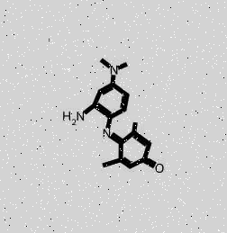 CC1=CC(=O)C=C(C)C1=Nc1ccc(N(C)C)cc1N